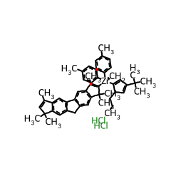 Cl.Cl.[CH2]=[Zr]([C]1=CC(C(C)(C)C)=CC1CCC)([C]1=C(C)c2cc3c(cc2C1(C)C)Cc1cc2c(cc1-3)C(C)=CC2(C)C)([c]1ccc(C)cc1)[c]1ccc(C)cc1